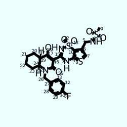 CS(=O)(=O)NCc1csc2c1S(=O)(=O)N=C(C1=C(O)[C@H]3CCCC[C@H]3N(Cc3ccc(F)cc3)C1=O)N2